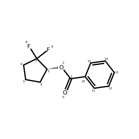 O=C(O[C@@H]1CCCC1(F)F)c1ccccc1